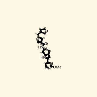 COc1nccc(-c2cc3cnc(NC(=O)c4cnn(CC5CCOC5)c4)cc3[nH]2)n1